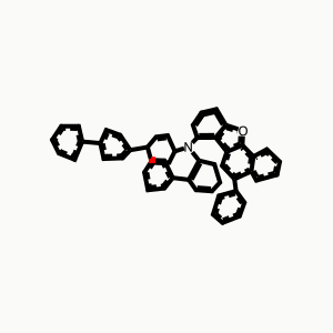 C1=C=c2oc3c(cc(-c4ccccc4)c4ccccc43)c2=C(N(C2=C(c3ccccc3)C=CCC2)C2C=CC(c3ccc(-c4ccccc4)cc3)CC2)C=1